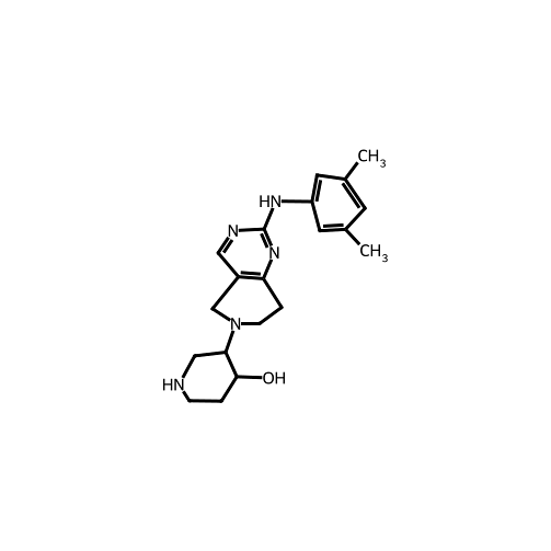 Cc1cc(C)cc(Nc2ncc3c(n2)CCN(C2CNCCC2O)C3)c1